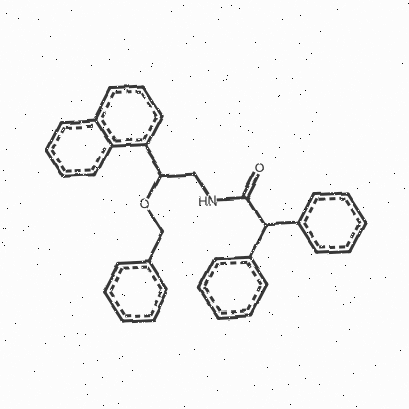 O=C(NCC(OCc1ccccc1)c1cccc2ccccc12)C(c1ccccc1)c1ccccc1